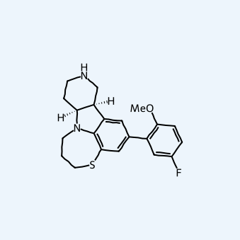 COc1ccc(F)cc1-c1cc2c3c(c1)[C@@H]1CNCC[C@@H]1N3CCCS2